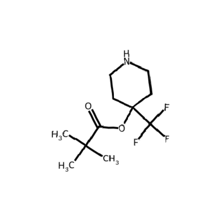 CC(C)(C)C(=O)OC1(C(F)(F)F)CCNCC1